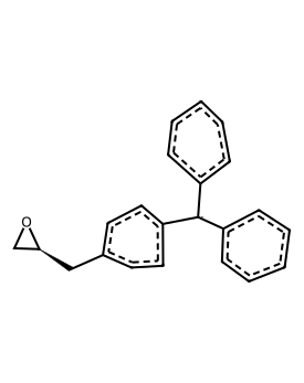 c1ccc([C](c2ccccc2)c2ccc(C[C@H]3CO3)cc2)cc1